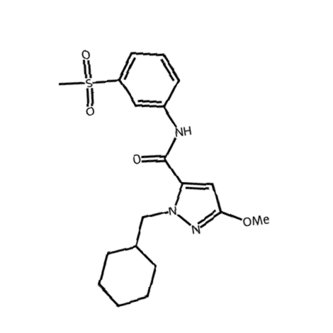 COc1cc(C(=O)Nc2cccc(S(C)(=O)=O)c2)n(CC2CCCCC2)n1